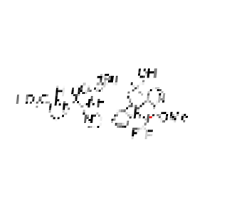 CO[C@@H](C)c1ncccc1-c1c(CC(C)(C)CO)c2cc(C3CCN(C[C@H](NC(=O)OC(C)(C)C)C(=O)N4CCC[C@@H](C(=O)O)N4)C3)ccc2n1C(F)C(F)F